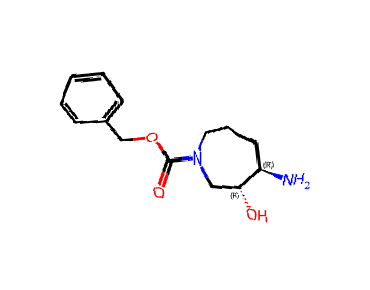 N[C@@H]1CCCN(C(=O)OCc2ccccc2)C[C@H]1O